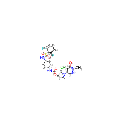 Cn1ncc(N2CC[C@@H](OC(=O)N[C@H]3CC[C@H](NS(=O)(=O)c4c(F)cccc4F)CC3)C2)c(Cl)c1=O